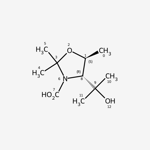 C[C@@H]1OC(C)(C)N(C(=O)O)[C@H]1C(C)(C)O